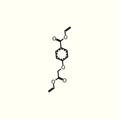 C=COC(=O)COc1ccc(C(=O)OC=C)cc1